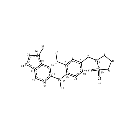 CCc1cc(CN2CCCS2(=O)=O)ccc1N(C)c1cc2c(cn1)ncn2C